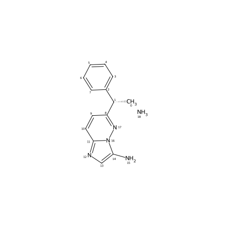 C[C@@H](c1ccccc1)c1ccc2ncc(N)n2n1.N